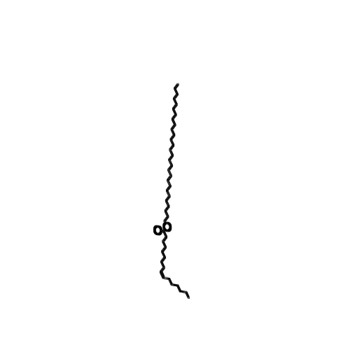 CCCCCC/C=C\CCCCCCCC(=O)OCCCCCCCCCCCCCCCCCCCCCCCCCCCC